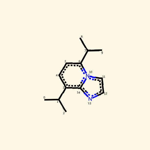 CC(C)c1ccc(C(C)C)n2ccnc12